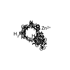 CC[C@H](C)[C@H](N)C1=N[C@H](C(=O)N[C@@H](CC(C)C)C(=O)N[C@H](CCC(=O)[O-])C(=O)N[C@H](C(=O)N[C@H]2CCCCNC(=O)[C@H](CC(N)=O)NC(=O)[C@@H](CC(=O)[O-])NC(=O)[C@H](Cc3cnc[nH]3)NC(=O)[C@@H](Cc3ccccc3)NC(=O)[C@H]([C@@H](C)CC)NC(=O)[C@@H](CCCN)NC2=O)[C@@H](C)CC)CS1.[Zn+2]